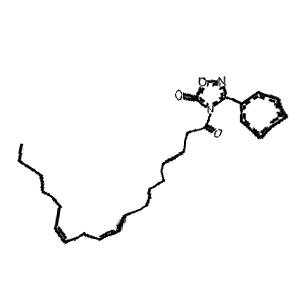 CCCCC/C=C\C/C=C\CCCCCCCC(=O)n1c(-c2ccccc2)noc1=O